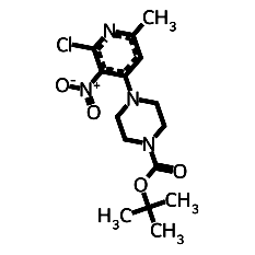 Cc1cc(N2CCN(C(=O)OC(C)(C)C)CC2)c([N+](=O)[O-])c(Cl)n1